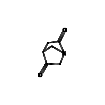 O=C1CN2CC1CC2=O